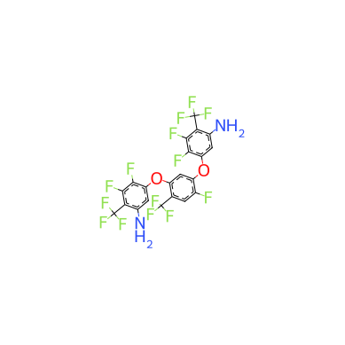 Nc1cc(Oc2cc(Oc3cc(N)c(C(F)(F)F)c(F)c3F)c(C(F)(F)F)cc2F)c(F)c(F)c1C(F)(F)F